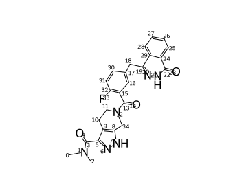 CN(C)C(=O)c1n[nH]c2c1CCN(C(=O)c1cc(Cc3n[nH]c(=O)c4ccccc34)ccc1F)C2